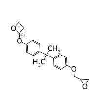 CC(C)(c1ccc(OCC2CO2)cc1)c1ccc(O[C@@H]2CCO2)cc1